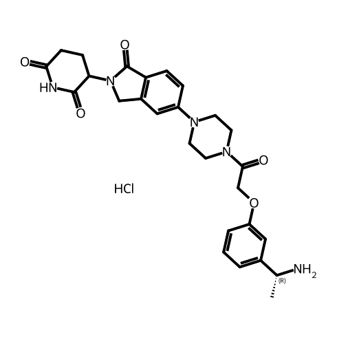 C[C@@H](N)c1cccc(OCC(=O)N2CCN(c3ccc4c(c3)CN(C3CCC(=O)NC3=O)C4=O)CC2)c1.Cl